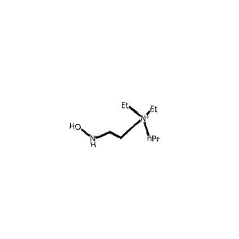 CCC[N+](CC)(CC)CCNO